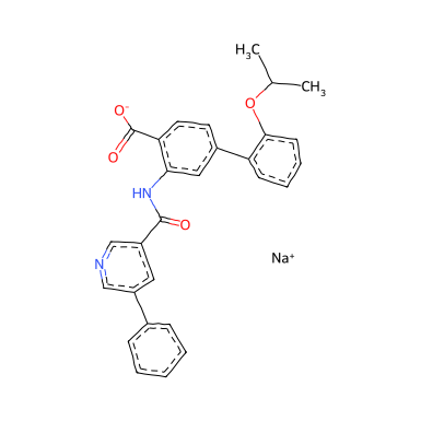 CC(C)Oc1ccccc1-c1ccc(C(=O)[O-])c(NC(=O)c2cncc(-c3ccccc3)c2)c1.[Na+]